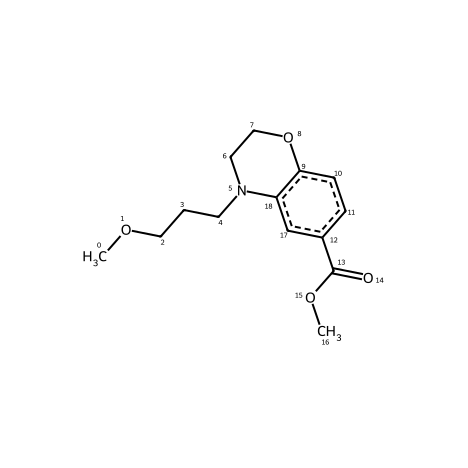 COCCCN1CCOc2ccc(C(=O)OC)cc21